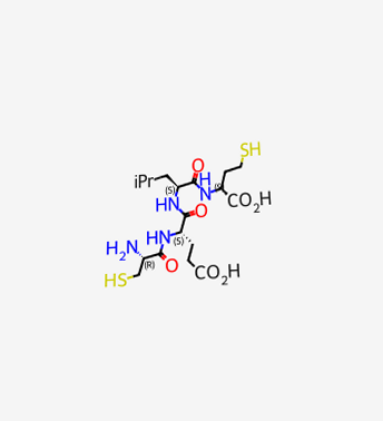 CC(C)C[C@H](NC(=O)[C@H](CCC(=O)O)NC(=O)[C@@H](N)CS)C(=O)N[C@@H](CCS)C(=O)O